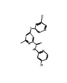 Cc1cc(Oc2cncc(Cl)c2)cc(C(=O)Nc2cc(C#N)ccn2)n1